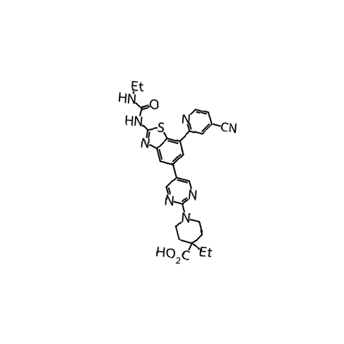 CCNC(=O)Nc1nc2cc(-c3cnc(N4CCC(CC)(C(=O)O)CC4)nc3)cc(-c3cc(C#N)ccn3)c2s1